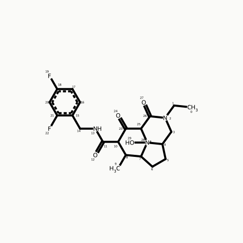 CCN1CC2CCC3C(C)C(C(=O)NCc4ccc(F)cc4F)C(=O)C(C1=O)[N+]23O